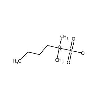 CCCC[N+](C)(C)S(=O)(=O)[O-]